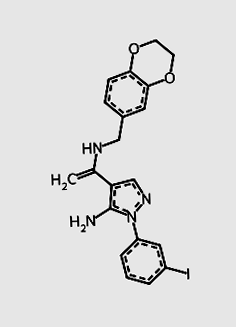 C=C(NCc1ccc2c(c1)OCCO2)c1cnn(-c2cccc(I)c2)c1N